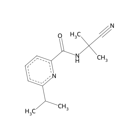 CC(C)c1cccc(C(=O)NC(C)(C)C#N)n1